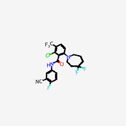 N#Cc1cc(NC(=O)c2c(N3CCCC(F)(F)CC3)ccc(C(F)(F)F)c2Cl)ccc1F